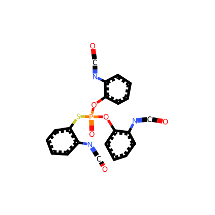 O=C=Nc1ccccc1OP(=O)(Oc1ccccc1N=C=O)Sc1ccccc1N=C=O